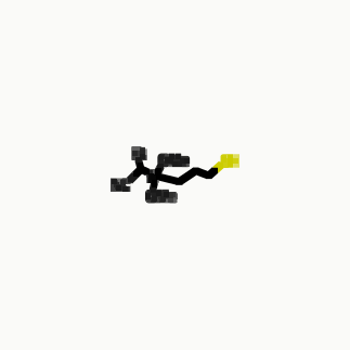 CCC(C#N)[Si](CCCS)(OC)OC